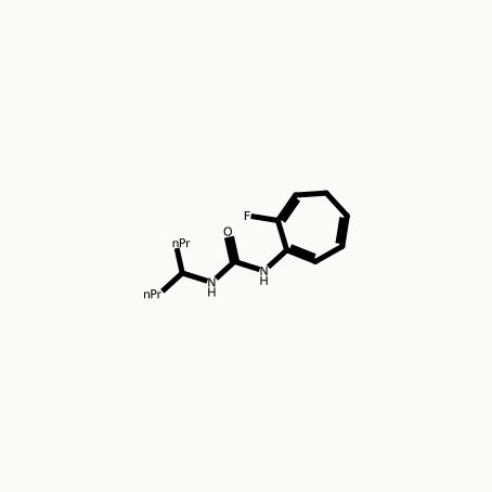 CCCC(CCC)NC(=O)NC1=CC=CCC=C1F